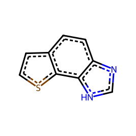 c1nc2ccc3ccsc3c2[nH]1